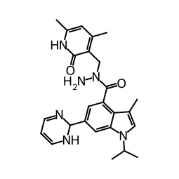 Cc1cc(C)c(CN(N)C(=O)c2cc(C3N=CC=CN3)cc3c2c(C)cn3C(C)C)c(=O)[nH]1